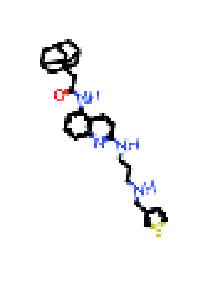 O=C(CC12CC3CC(CC(C3)C1)C2)Nc1cccc2nc(NCCCNCc3ccsc3)ccc12